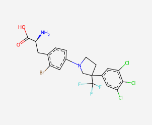 N[C@@H](Cc1ccc(N2CCC(c3cc(Cl)c(Cl)c(Cl)c3)(C(F)(F)F)C2)cc1Br)C(=O)O